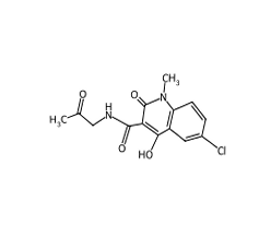 CC(=O)CNC(=O)c1c(O)c2cc(Cl)ccc2n(C)c1=O